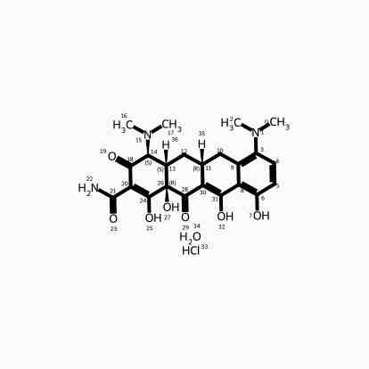 CN(C)c1ccc(O)c2c1C[C@H]1C[C@H]3[C@H](N(C)C)C(=O)C(C(N)=O)=C(O)[C@@]3(O)C(=O)C1=C2O.Cl.O